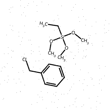 CC[Si](OC)(OC)OC.ClCc1ccccc1